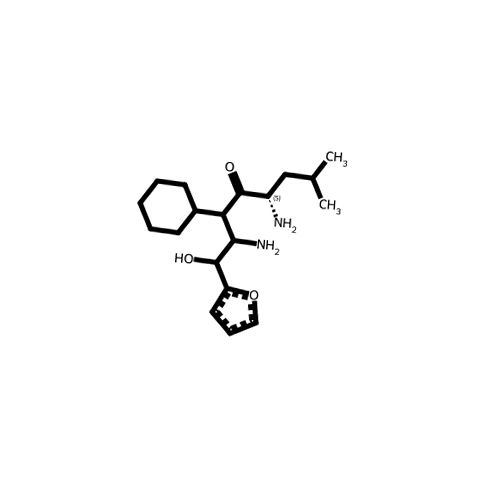 CC(C)C[C@H](N)C(=O)C(C1CCCCC1)C(N)C(O)c1ccco1